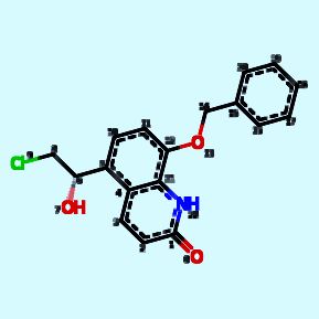 O=c1ccc2c([C@H](O)CCl)ccc(OCc3ccccc3)c2[nH]1